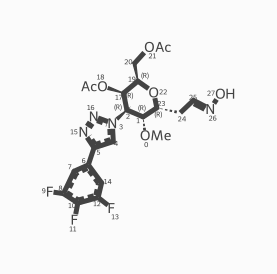 CO[C@@H]1[C@@H](n2cc(-c3cc(F)c(F)c(F)c3)nn2)[C@@H](OC(C)=O)[C@@H](COC(C)=O)O[C@@H]1CC=NO